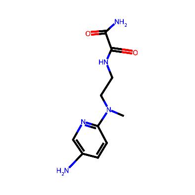 CN(CCNC(=O)C(N)=O)c1ccc(N)cn1